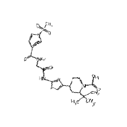 CC(C)(C)C1CC(c2csc(NC(=O)CNC(=O)c3ccn(S(C)(=O)=O)c3)n2)CCN1C(=O)O